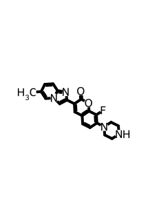 Cc1ccc2nc(-c3cc4ccc(N5CCNCC5)c(F)c4oc3=O)cn2c1